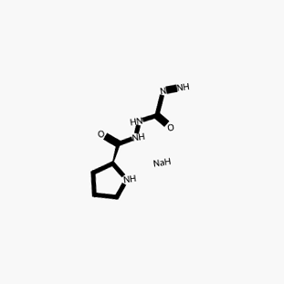 N=NC(=O)NNC(=O)[C@@H]1CCCN1.[NaH]